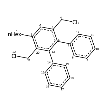 CCCCCCc1cc(CCl)c(-c2ccccc2)c(-c2ccccc2)c1CCl